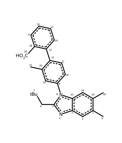 Cc1cc2nc(CC(C)(C)C)n(-c3ccc(-c4ccccc4C(=O)O)c(C)c3)c2cc1C